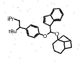 CC(C)CC(c1ccc(OC(OC23CCCC4CC(C2)C43)C2C=Cc3ccccc32)cc1)C(C)(C)C